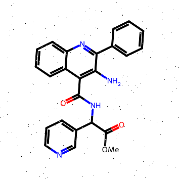 COC(=O)C(NC(=O)c1c(N)c(-c2ccccc2)nc2ccccc12)c1cccnc1